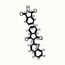 O=C1NC(=O)c2ccccc21.O=C1c2ccccc2C(=O)C1c1ccc2ccccc2n1